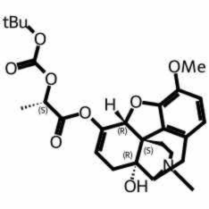 COc1ccc2c3c1O[C@H]1C(OC(=O)[C@H](C)OC(=O)OC(C)(C)C)=CC[C@]4(O)C(C2)N(C)CC[C@]314